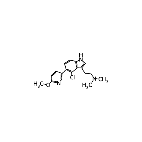 COc1ccc(-c2ccc3[nH]cc(CCN(C)C)c3c2Cl)cn1